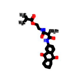 C=C(C)C(=O)OCCNC(=O)C(C(=O)Nc1ccc2c(c1)C(=O)c1ccccc1C2=O)C(=O)OCC